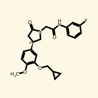 COc1ccc([C@H]2CC(=O)N(CC(=O)Nc3cccc(F)c3)C2)cc1OCC1CC1